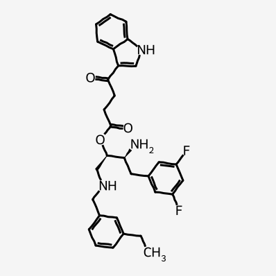 CCc1cccc(CNC[C@@H](OC(=O)CCC(=O)c2c[nH]c3ccccc23)[C@@H](N)Cc2cc(F)cc(F)c2)c1